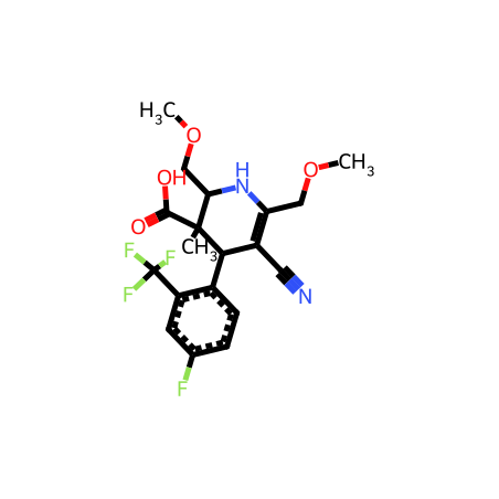 COCC1=C(C#N)C(c2ccc(F)cc2C(F)(F)F)C(C)(C(=O)O)C(COC)N1